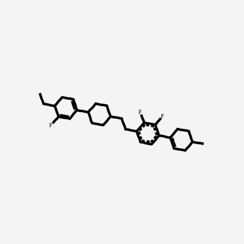 CCC1CC=C(C2CCC(CCc3ccc(C4=CCC(C)CC4)c(F)c3F)CC2)C=C1F